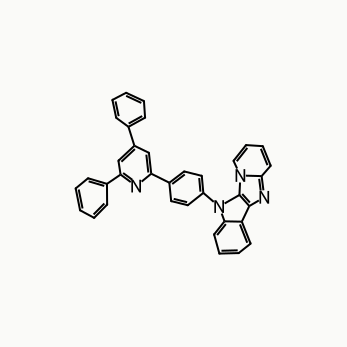 c1ccc(-c2cc(-c3ccccc3)nc(-c3ccc(-n4c5ccccc5c5nc6ccccn6c54)cc3)c2)cc1